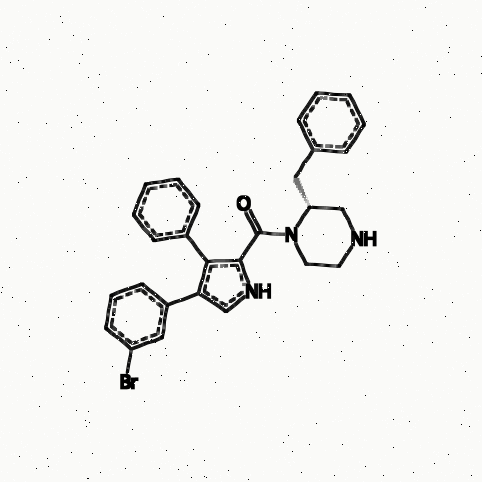 O=C(c1[nH]cc(-c2cccc(Br)c2)c1-c1ccccc1)N1CCNC[C@H]1Cc1ccccc1